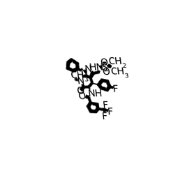 C=C(C)S(=O)(=O)NCc1nn(-c2ccccc2)c2c1[C@@H](c1ccc(F)cc1)[C@@H](NC(=O)c1cccc(C(F)(F)F)c1)C(=O)N2CC